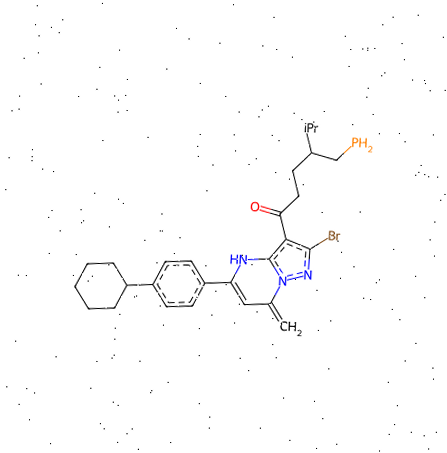 C=C1C=C(c2ccc(C3CCCCC3)cc2)Nc2c(C(=O)CCC(CP)C(C)C)c(Br)nn21